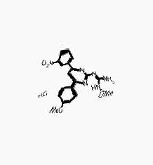 CONC(N)=Nc1nc(-c2ccc(OC)cc2)cc(-c2cccc([N+](=O)[O-])c2)n1.Cl